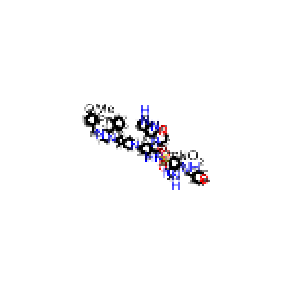 COc1ccc(CN2CCN(C3CC4(CCN(c5ccc(C(=O)NS(=O)(=O)c6cc([N+](=O)[O-])c(NCC7CCOCC7)c7[nH]cnc67)c(N6CCCOc7nc8[nH]ccc8cc76)c5)CC4)C3)C(c3ccccc3C(C)C)C2)cc1